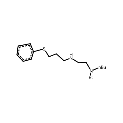 CCCCN(CC)CCNCCCSc1ccccc1